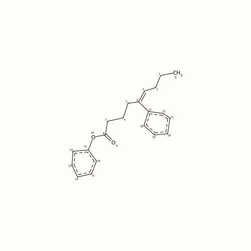 CCCC=C(CCCC(=O)Oc1ccccc1)c1ccccc1